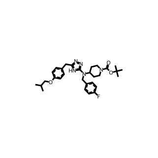 CC(C)COc1ccc(Cc2nnc(N(Cc3ccc(F)cc3)C3CCN(C(=O)OC(C)(C)C)CC3)[nH]2)cc1